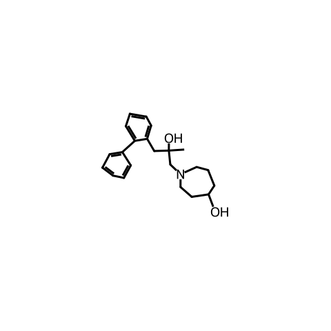 CC(O)(Cc1ccccc1-c1ccccc1)CN1CCCC(O)CC1